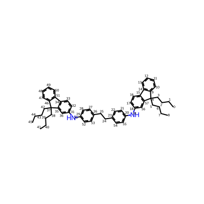 CCCCC1(CCCC)c2ccccc2-c2ccc(Nc3ccc(CCc4ccc(Nc5ccc6c(c5)C(CCCC)(CCCC)c5ccccc5-6)cc4)cc3)cc21